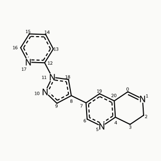 C1=NCCc2ncc(-c3cnn(-c4ccccn4)c3)cc21